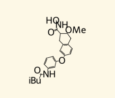 CCC(C)C(=O)Nc1cccc(Oc2ccc3c(c2)CC(C(=O)NO)C(OC)C3)c1